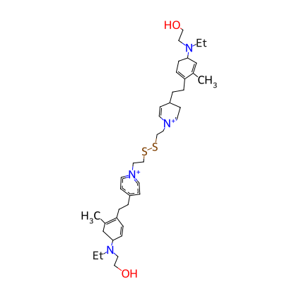 CCN(CCO)C1C=C(C)C(CCC2C=C[N+](CCSSCC[n+]3ccc(CCC4=C(C)CC(N(CC)CCO)C=C4)cc3)=CC2)=CC1